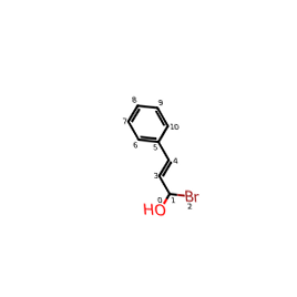 OC(Br)/C=C/c1ccccc1